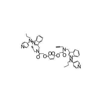 C#CCN(Cc1cn(N(CCC)c2ccncc2)c2ccccc12)C(=O)COC(=O)/C=C\C(=O)OCC(=O)N(CC#C)Cc1cn(N(CCC)c2ccncc2)c2ccccc12